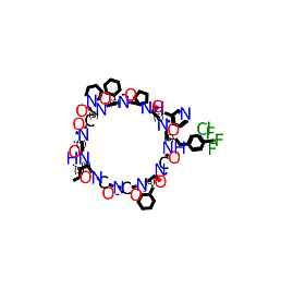 CC[C@H](C)[C@@H]1NC(=O)[C@H](C)N(C)C(=O)C[C@@H](C(=O)N2CCCCC2)N(C)C(=O)[C@H](C2CCCCC2)N(C)C(=O)C2(CCCC2)NC(=O)[C@H](Cc2cccnc2)N(C)C(=O)[C@H](CCc2ccc(C(F)(F)F)c(Cl)c2)NC(=O)CN(C)C(=O)[C@H](CC2CCCCC2)N(C)C(=O)CN(C)C(=O)CN(C)C1=O